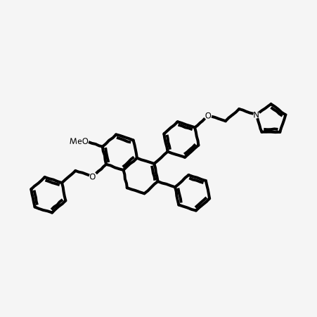 COc1ccc2c(c1OCc1ccccc1)CCC(c1ccccc1)=C2c1ccc(OCCn2cccc2)cc1